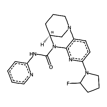 O=C(Nc1ccccn1)N1c2nc(N3CCCC3F)ccc2N2CCC[C@H]1C2